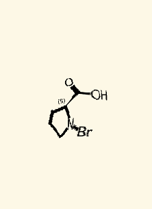 O=C(O)[C@@H]1CCCN1Br